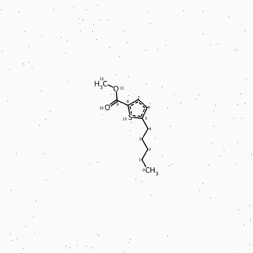 CCCCCc1ccc(C(=O)OC)s1